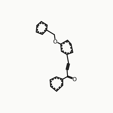 O=C(C#Cc1cccc(OCc2ccccc2)c1)c1ccccc1